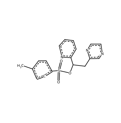 Cc1ccc(S(=O)(=O)OC(Cc2cnccn2)c2ccccn2)cc1